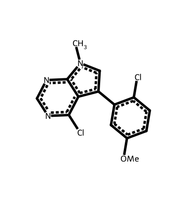 COc1ccc(Cl)c(-c2cn(C)c3ncnc(Cl)c23)c1